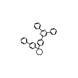 c1ccc(-c2ccc(C3(c4ccc(-c5cc(-c6ccccc6)nc(-c6ccccc6)n5)cc4)CCCCC3)cc2)cc1